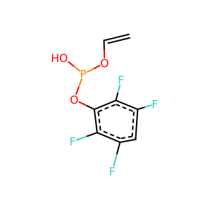 C=COP(O)Oc1c(F)c(F)cc(F)c1F